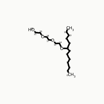 CCCCCCCC(CCCCC)OCCOCCOCCO